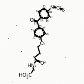 O=C(O)CNC(=O)CCCOc1ccc(C(=O)c2ccc(N=C=S)cc2)cc1